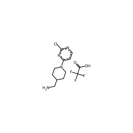 NCC1CCN(c2ccnc(Cl)n2)CC1.O=C(O)C(F)(F)F